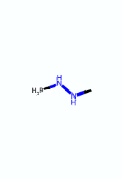 BNNC